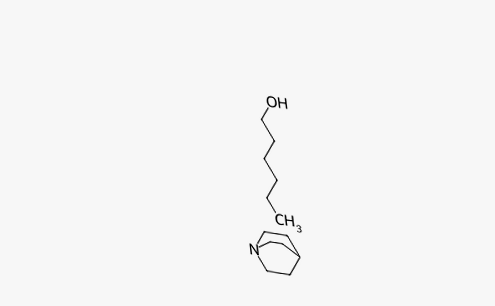 C1CN2CCC1CC2.CCCCCCO